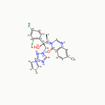 C[C@@H](n1cnc2cc(Cl)ccc2c1=O)[C@](O)(Cn1cncn1)c1ccc(F)cc1F.c1cscn1